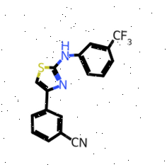 N#Cc1cccc(-c2csc(Nc3cccc(C(F)(F)F)c3)n2)c1